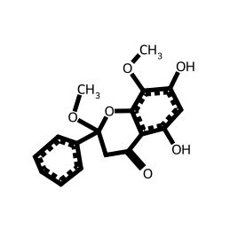 COc1c(O)cc(O)c2c1OC(OC)(c1ccccc1)CC2=O